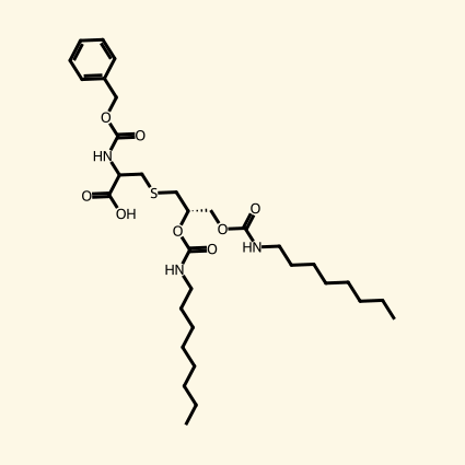 CCCCCCCCNC(=O)OC[C@@H](CSCC(NC(=O)OCc1ccccc1)C(=O)O)OC(=O)NCCCCCCCC